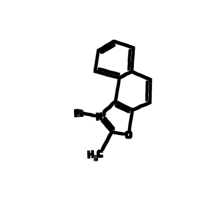 CC[n+]1c(C)oc2ccc3ccccc3c21